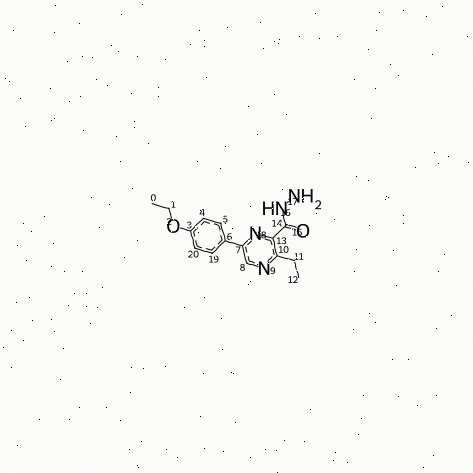 CCOc1ccc(-c2cnc(CC)c(C(=O)NN)n2)cc1